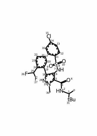 CC(NC(=O)c1c(NS(=O)(=O)c2ccc(Cl)cc2)c(-c2ccccc2C(F)F)nn1C)C(C)(C)C